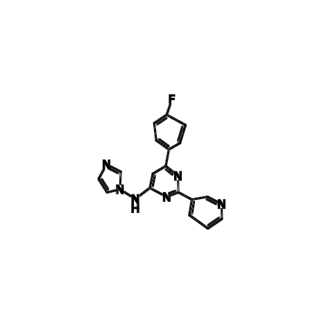 Fc1ccc(-c2cc(Nn3ccnc3)nc(-c3cccnc3)n2)cc1